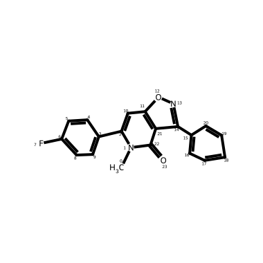 Cn1c(-c2ccc(F)cc2)cc2onc(-c3ccccc3)c2c1=O